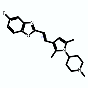 Cc1cc(/C=C/c2nc3cc(F)ccc3o2)c(C)n1C1CCN(C)CC1